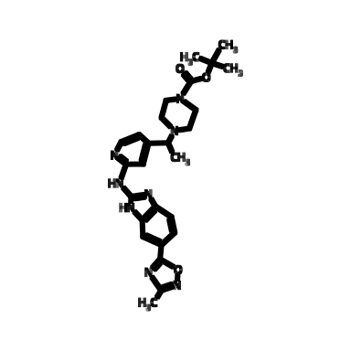 Cc1noc(-c2ccc3nc(Nc4cc(C(C)N5CCN(C(=O)OC(C)(C)C)CC5)ccn4)[nH]c3c2)n1